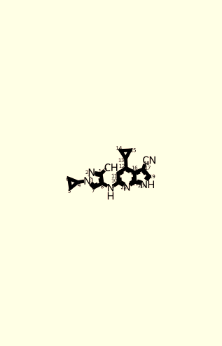 Cc1nn(C2CC2)cc1Nc1cc(C2CC2)c2c(C#N)c[nH]c2n1